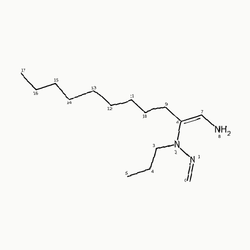 C=NN(CCC)/C(=C\N)CCCCCCCCC